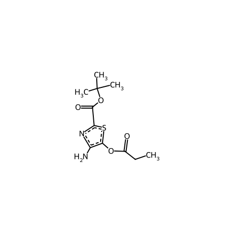 CCC(=O)Oc1sc(C(=O)OC(C)(C)C)nc1N